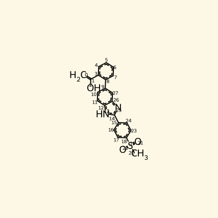 C=C(O)c1ccccc1-c1ccc2[nH]c(-c3ccc(S(C)(=O)=O)cc3)nc2c1